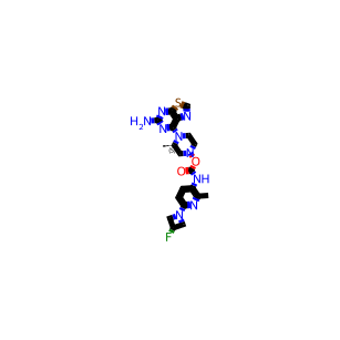 Cc1nc(N2CC(F)C2)ccc1NC(=O)ON1CCN(c2nc(N)nc3scnc23)[C@@H](C)C1